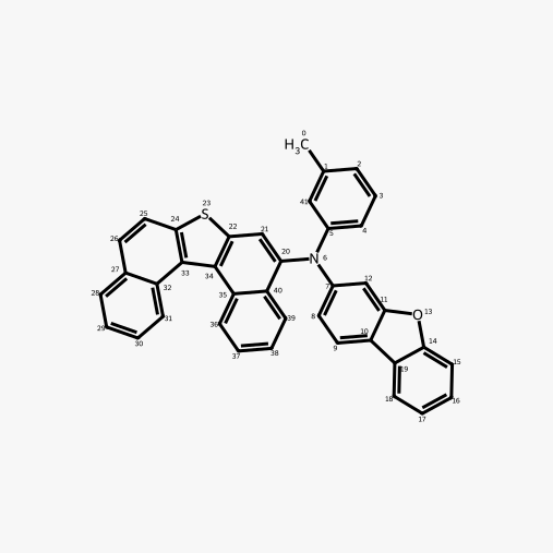 Cc1cccc(N(c2ccc3c(c2)oc2ccccc23)c2cc3sc4ccc5ccccc5c4c3c3ccccc23)c1